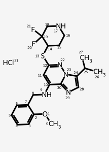 COc1ccccc1CNc1cc(SC2CCNCC2(F)F)nn2c(C(C)C)cnc12.Cl